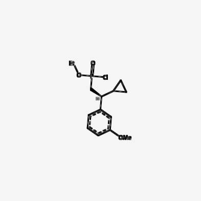 CCOP(=O)(Cl)C[C@H](c1cccc(OC)c1)C1CC1